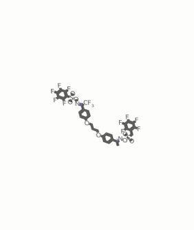 C/C(=N\OS(=O)(=O)Cc1c(F)c(F)c(F)c(F)c1F)c1ccc(OCCCOc2ccc(/C(=N/OS(=O)(=O)c3c(F)c(F)c(F)c(F)c3F)C(F)(F)F)cc2)cc1